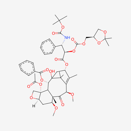 CO[C@H]1C(=O)[C@@]2(C)C([C@H](OC(=O)c3ccccc3)C3(O)C[C@H](OC(=O)[C@H](OC(=O)OC[C@H]4COC(C)(C)O4)[C@@H](NC(=O)OC(C)(C)C)c4ccccc4)C(C)=C1C3(C)C)[C@]1(OC(C)=O)CO[C@@H]1C[C@@H]2OC